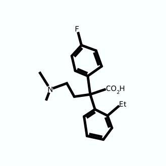 CCc1ccccc1C(CCN(C)C)(C(=O)O)c1ccc(F)cc1